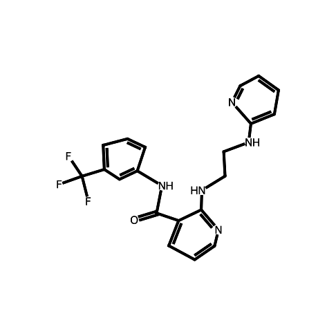 O=C(Nc1cccc(C(F)(F)F)c1)c1cccnc1NCCNc1ccccn1